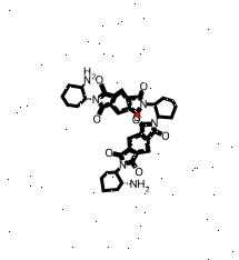 N[C@@H]1CCCCC1n1c(=O)c2cc3c(=O)n([C@@H]4CCCCC4n4c(=O)c5cc6c(=O)n([C@@H]7CCCC[C@H]7N)c(=O)c6cc5c4=O)c(=O)c3cc2c1=O